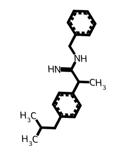 CC(C)Cc1ccc(C(C)C(=N)NCc2ccccc2)cc1